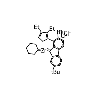 CCC1=CCC(c2c(C(C)(C)C)ccc3c2[CH]([Zr+2]=[C]2CCCCC2)c2cc(C(C)(C)C)ccc2-3)=C1CC.[Cl-].[Cl-]